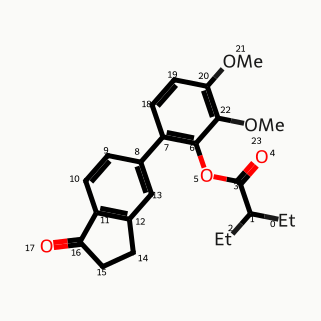 CCC(CC)C(=O)Oc1c(-c2ccc3c(c2)CCC3=O)ccc(OC)c1OC